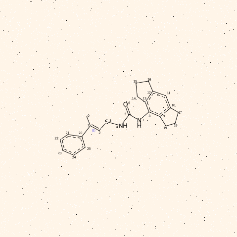 C/C(=C\SNC(=O)Nc1c2c(cc3c1CCC3)CCC2)c1ccccc1